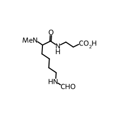 CNC(CCCCNC=O)C(=O)NCCC(=O)O